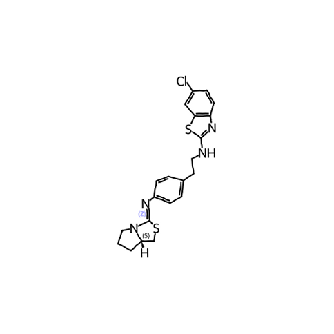 Clc1ccc2nc(NCCc3ccc(/N=C4\SC[C@@H]5CCCN45)cc3)sc2c1